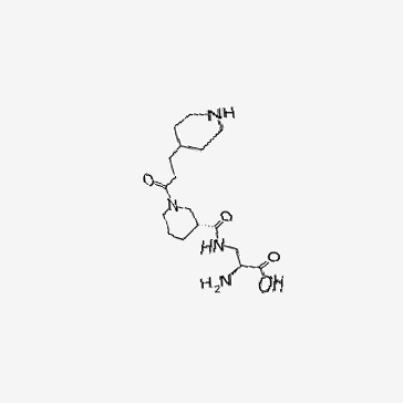 N[C@@H](CNC(=O)[C@@H]1CCCN(C(=O)CCC2CCNCC2)C1)C(=O)O